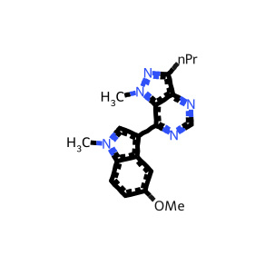 CCCc1nn(C)c2c(-c3cn(C)c4ccc(OC)cc34)ncnc12